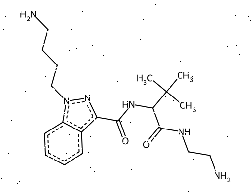 CC(C)(C)C(NC(=O)c1nn(CCCCN)c2ccccc12)C(=O)NCCN